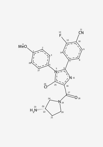 COc1ccc(-n2c(-c3ccc(C#N)c(F)c3)nc(C(=O)N3CC[C@H](N)C3)c2Cl)cc1